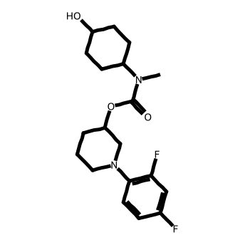 CN(C(=O)OC1CCCN(c2ccc(F)cc2F)C1)C1CCC(O)CC1